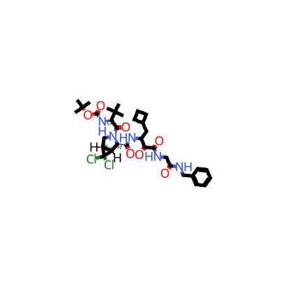 CC(C)(C)OC(=O)N[C@H](C(=O)N1C[C@H]2[C@@H]([C@H]1C(=O)NC(CC1CCC1)C(=O)C(=O)NCC(=O)NCc1ccccc1)C2(Cl)Cl)C(C)(C)C